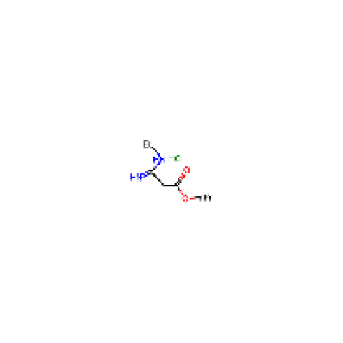 CCCOC(=O)CC(=N)NCC.Cl